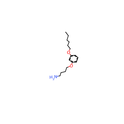 CCCCCCOc1cccc(OCCCCN)c1